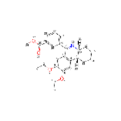 CCOc1cc2c(cc1OCC)[C@H]1CCCC[C@H]1N=C2c1cccc(C(=O)OC)c1